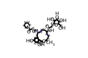 C[C@@H]1C/C=C/[C@@H](NC(=O)CS[C@@H]2OC(CO)[C@@H](O)C(O)[C@@H]2O)C/C=C/C(=N/OCC(=O)N2CCCCC2)Cc2cc(O)cc(O)c2C(=O)O1